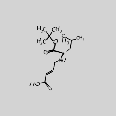 CC(C)C[C@H](NC/C=C/C(=O)O)C(=O)OC(C)(C)C